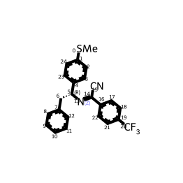 CSc1ccc([C@@H](Cc2ccccc2)/N=C(\C#N)c2ccc(C(F)(F)F)cc2)cc1